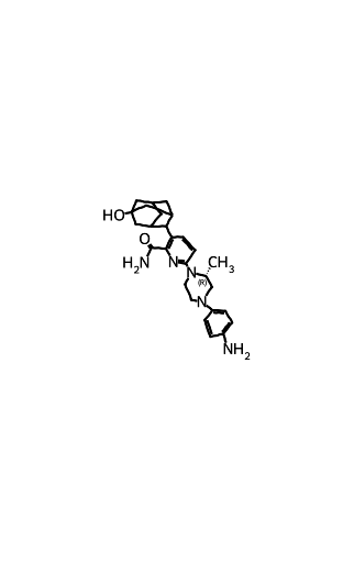 C[C@@H]1CN(c2ccc(N)cc2)CCN1c1ccc(C2C3CC4CC2CC(O)(C4)C3)c(C(N)=O)n1